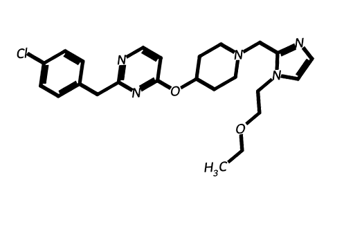 CCOCCn1ccnc1CN1CCC(Oc2ccnc(Cc3ccc(Cl)cc3)n2)CC1